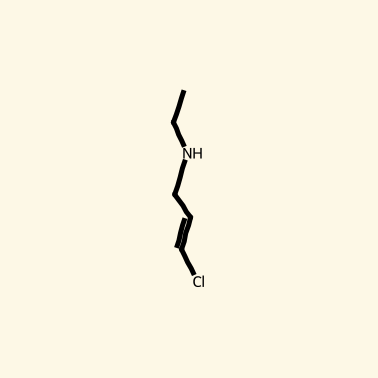 CCNC/C=C/Cl